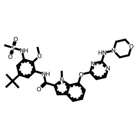 COc1c(NC(=O)c2cc3cccc(Oc4ccnc(NN5CCOCC5)n4)c3n2C)cc(C(C)(C)C)cc1NS(C)(=O)=O